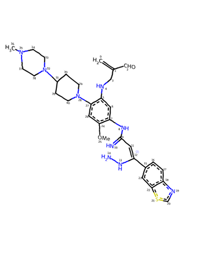 C=C(C=O)CNc1cc(NC(=N)/C=C(\NN)c2ccc3ncsc3c2)c(OC)cc1N1CCC(N2CCN(C)CC2)CC1